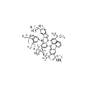 CC(C)c1ccc2c(c1)B1c3sc4ccc(C(C)(C)C)cc4c3N(c3ccc4c(c3)C(C)(C)CCC4(C)C)c3cc(C(C)(C)C)cc(c31)N2c1cc2c(cc1-c1ccccc1)C(C)(C)CCC2(C)C